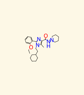 CCOc1ccccc1-c1nc(C(=O)NN2CCCCC2)c(C)n1CCC1CCCCC1